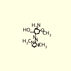 COc1cc(N=Nc2n(C)cc[n+]2C)c(CO)cc1N